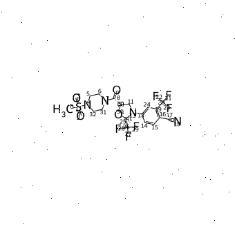 CS(=O)(=O)N1CCN(C(=O)[C@@H]2CN(c3ccc(C#N)c(C(F)(F)F)c3)[C@@H](C(F)(F)F)O2)CC1